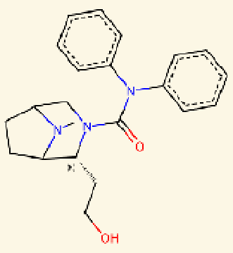 CN1C2CCC1[C@@H](CCO)N(C(=O)N(c1ccccc1)c1ccccc1)C2